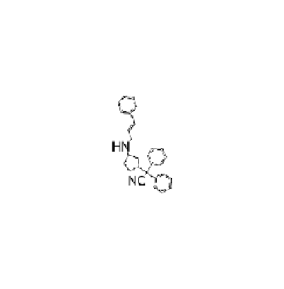 N#CC(c1ccccc1)(c1ccccc1)C1CCC(NCC=Cc2ccccc2)C1